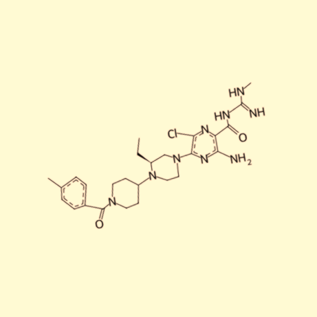 CC[C@H]1CN(c2nc(N)c(C(=O)NC(=N)NC)nc2Cl)CCN1C1CCN(C(=O)c2ccc(C)cc2)CC1